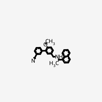 COc1ccc(CN[C@H](C)c2cccc3ccccc23)cc1-c1cccc(C#N)c1